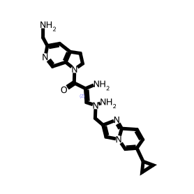 NCc1cc2c(cn1)N(C(=O)/C(N)=C/N(N)Cc1cn3cc(C4CC4)ccc3n1)CC2